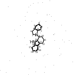 c1ccc2c(c1)CCN2C1CCCc2c1[nH]c1ccccc21